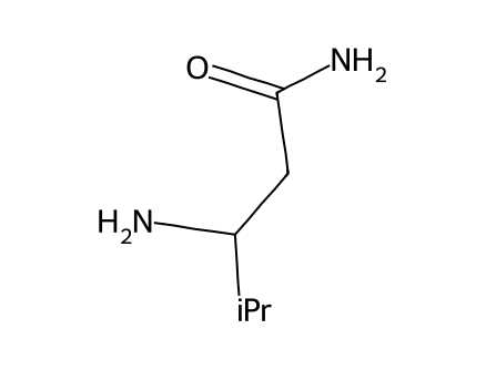 CC(C)C(N)CC(N)=O